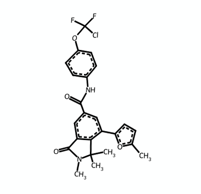 Cc1ccc(-c2cc(C(=O)Nc3ccc(OC(F)(F)Cl)cc3)cc3c2C(C)(C)N(C)C3=O)o1